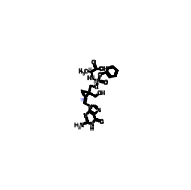 C[C@H](N[P@](=O)(OCC1(CO)C/C1=C/n1cnc2c(=O)[nH]c(N)nc21)Oc1ccccc1)C(=O)O